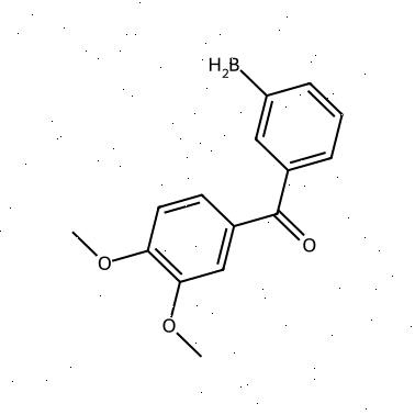 Bc1cccc(C(=O)c2ccc(OC)c(OC)c2)c1